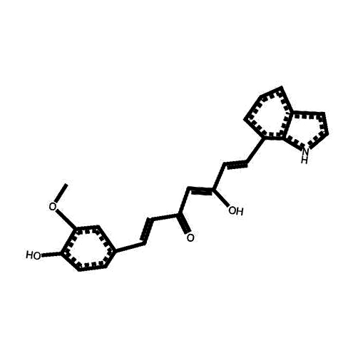 COc1cc(/C=C/C(=O)/C=C(O)/C=C/c2cccc3cc[nH]c23)ccc1O